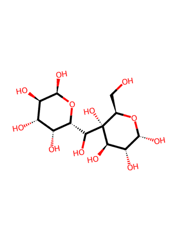 OC[C@H]1O[C@H](O)[C@H](O)[C@@H](O)[C@@]1(O)C(O)[C@H]1O[C@H](O)[C@H](O)[C@@H](O)[C@H]1O